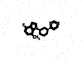 Cc1ccc(F)c2ccn([C@@H]3CCC[C@@H](c4ccncn4)C3)c12